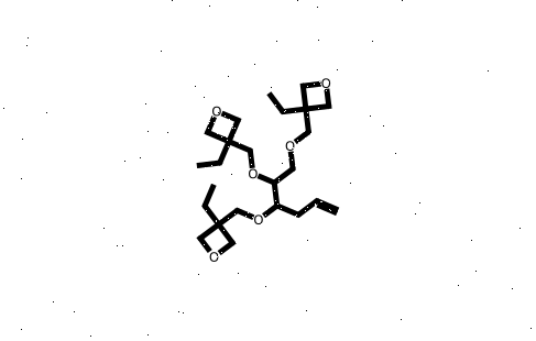 C=CCC(OCC1(CC)COC1)C(COCC1(CC)COC1)OCC1(CC)COC1